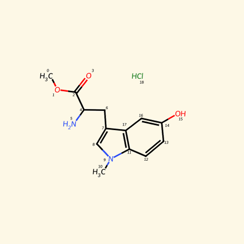 COC(=O)C(N)Cc1cn(C)c2ccc(O)cc12.Cl